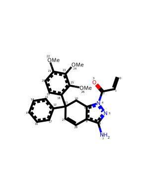 C=CC(=O)n1nc(N)c2c1CC(c1ccccc1)(c1ccc(OC)c(OC)c1OC)C=C2